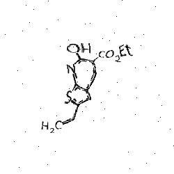 C=Cc1cc2cc(C(=O)OCC)c(O)nc2s1